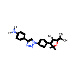 CCN(CC)c1ccc(-c2cn(-c3ccc(C4=C(C#N)C(=C(C#N)C#N)OC4(C)C)cc3)nn2)cc1